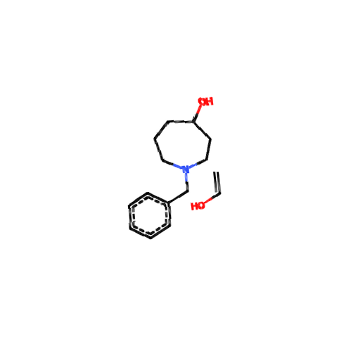 C=CO.OC1CCCN(Cc2ccccc2)CC1